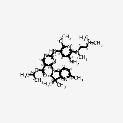 COc1nc(N(C)CCN(C)C)c(N)cc1Nc1ncc(C(=O)OC(C)C)c(N2CC(C)(C)c3nc(C)ccc32)n1